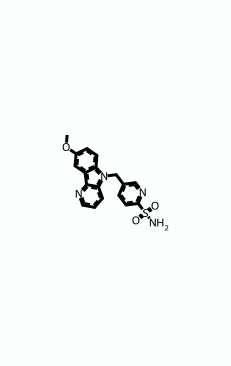 COc1ccc2c(c1)c1ncccc1n2Cc1ccc(S(N)(=O)=O)nc1